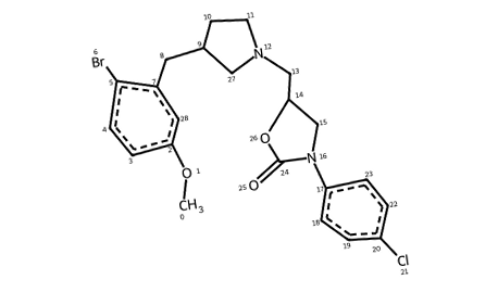 COc1ccc(Br)c(CC2CCN(CC3CN(c4ccc(Cl)cc4)C(=O)O3)C2)c1